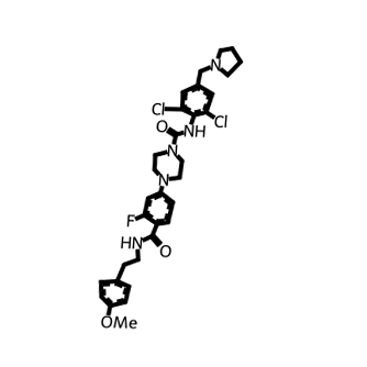 COc1ccc(CCNC(=O)c2ccc(N3CCN(C(=O)Nc4c(Cl)cc(CN5CCCC5)cc4Cl)CC3)cc2F)cc1